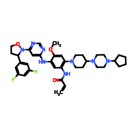 C=CC(=O)Nc1cc(Nc2cc(N3OCCC3c3cc(F)cc(F)c3)ncn2)c(OC)cc1N1CCC(N2CCN(C3CCCC3)CC2)CC1